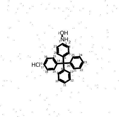 Cl.NO.c1ccc(C(c2ccccc2)(c2ccccc2)c2ccccc2)cc1